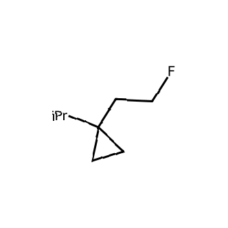 CC(C)C1(CCF)CC1